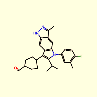 Cc1cc(-n2c(C(C)C)c(C3CCC(C=O)CC3)c3cc4[nH]nc(C)c4cc32)ccc1F